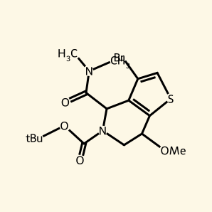 COC1CN(C(=O)OC(C)(C)C)C(C(=O)N(C)C)c2c(Br)csc21